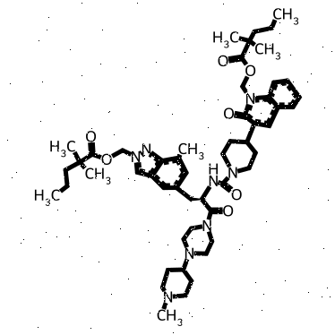 CCCC(C)(C)C(=O)OCn1cc2cc(C[C@@H](NC(=O)N3CCC(c4cc5ccccc5n(COC(=O)C(C)(C)CCC)c4=O)CC3)C(=O)N3CCN(C4CCN(C)CC4)CC3)cc(C)c2n1